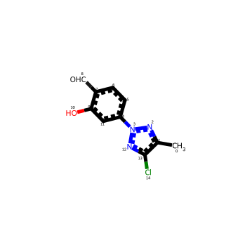 Cc1nn(-c2ccc(C=O)c(O)c2)nc1Cl